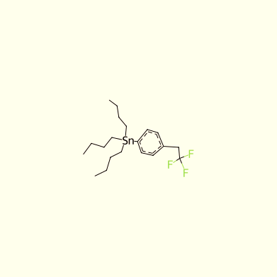 CCC[CH2][Sn]([CH2]CCC)([CH2]CCC)[c]1ccc(CC(F)(F)F)cc1